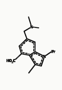 Cc1cn(C(C)C)c2cc(CN(C)C)cc(C(=O)O)c12